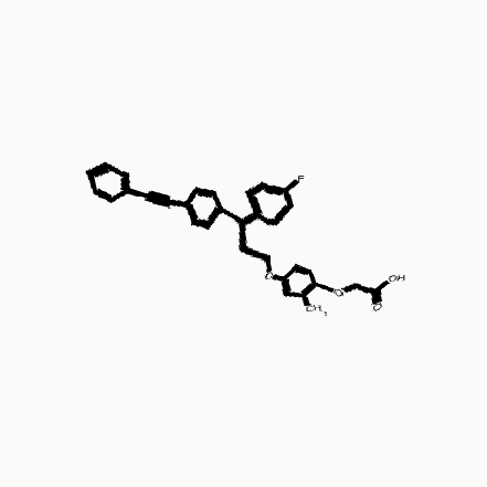 Cc1cc(OCCC(c2ccc(F)cc2)c2ccc(C#Cc3ccccc3)cc2)ccc1OCC(=O)O